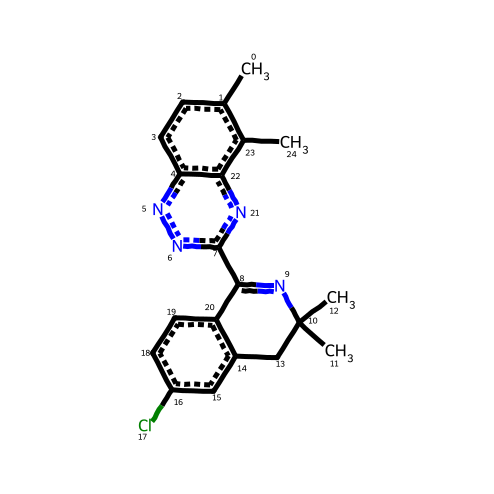 Cc1ccc2nnc(C3=NC(C)(C)Cc4cc(Cl)ccc43)nc2c1C